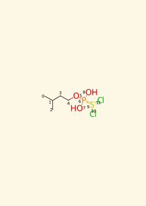 CC(C)CCOP(O)(O)=S(Cl)Cl